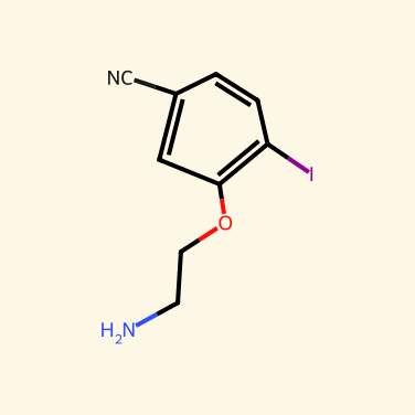 N#Cc1ccc(I)c(OCCN)c1